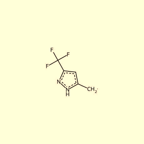 [CH2]c1cc(C(F)(F)F)n[nH]1